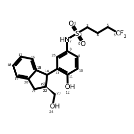 O=S(=O)(CCCC(F)(F)F)Nc1ccc(O)c(C2c3ccccc3C[C@@H]2CO)c1